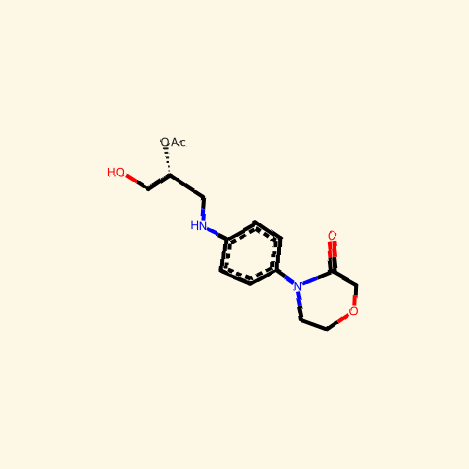 CC(=O)O[C@@H](CO)CNc1ccc(N2CCOCC2=O)cc1